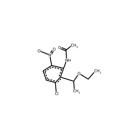 CCOC(C)c1c(Cl)ccc([N+](=O)[O-])c1NC(C)=O